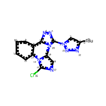 CC(C)(C)c1cn(-c2nnc3c4ccccc4n4c(Cl)ncc4n23)nn1